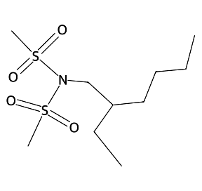 CCCCC(CC)CN(S(C)(=O)=O)S(C)(=O)=O